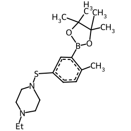 CCN1CCN(Sc2ccc(C)c(B3OC(C)(C)C(C)(C)O3)c2)CC1